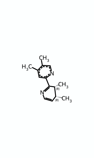 Cc1cnc(C2=NC=C[C@@H](C)[C@H]2C)cc1C